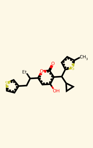 CCC(Cc1ccsc1)c1cc(O)c(C(c2ccc(C)s2)C2CC2)c(=O)o1